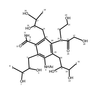 CC(=O)Nc1c(CC(O)C(O)I)c(C(N)=O)c(CC(O)C(O)I)c(N(CCO)C(=O)CO)c1CC(O)C(O)I